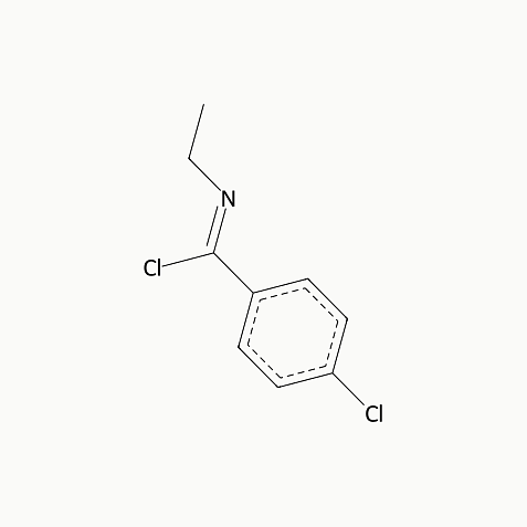 CCN=C(Cl)c1ccc(Cl)cc1